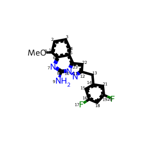 COc1cccc2c1nc(N)n1nc(Cc3cc(F)cc(F)c3)cc21